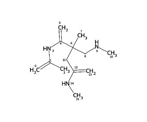 C=C(C)NC(=C)C(C)(CNC)CC(=C)NC